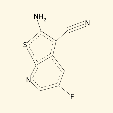 N#Cc1c(N)sc2ncc(F)cc12